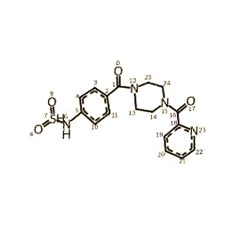 O=C(c1ccc(N[SH](=O)=O)cc1)N1CCN(C(=O)c2ccccn2)CC1